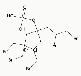 O=P(O)(O)OC(CC(Br)CBr)(CC(Br)CBr)CC(Cl)(CBr)CBr